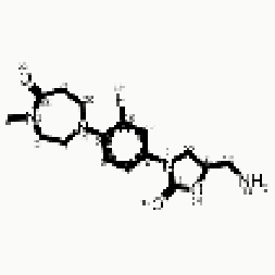 CN1CCN(c2ccc(N3CC(CN)OC3=O)cc2F)CCC1=O